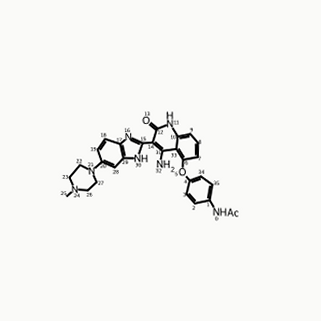 CC(=O)Nc1ccc(Oc2cccc3[nH]c(=O)c(-c4nc5ccc(N6CCN(C)CC6)cc5[nH]4)c(N)c23)cc1